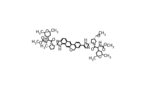 COC[C@H]1C[C@@H](c2ncc(-c3ccc4c(c3)COc3cc5c(ccc6nc([C@@H]7CC[C@H](C)N7C(=O)[C@@H](NC(=O)OC)C7C[C@@H](C)O[C@H](C)C7)[nH]c65)cc3-4)[nH]2)N(C(=O)[C@@H](NC(=O)OC)C2C[C@@H](C)O[C@H](C)C2)C1